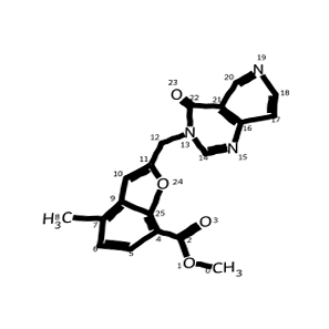 COC(=O)c1ccc(C)c2cc(Cn3cnc4ccncc4c3=O)oc12